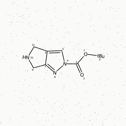 CC(C)(C)OC(=O)n1cc2c(n1)CNC2